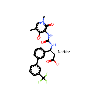 Cc1cn(C)c(=O)c(NC(=O)N[C@@H](CC(=O)[O-])c2cccc(-c3cccc(C(F)(F)F)c3)c2)c1[O-].[Na+].[Na+]